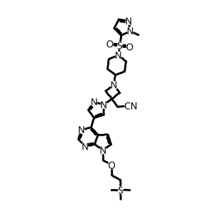 Cn1nccc1S(=O)(=O)N1CCC(N2CC(CC#N)(n3cc(-c4ncnc5c4ccn5COCCS(C)(C)C)cn3)C2)CC1